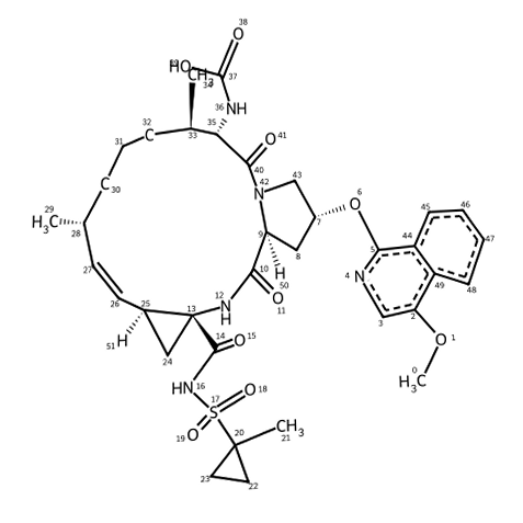 COc1cnc(O[C@@H]2C[C@H]3C(=O)N[C@]4(C(=O)NS(=O)(=O)C5(C)CC5)C[C@H]4/C=C\[C@H](C)CCC[C@@H](C)[C@H](NC(=O)O)C(=O)N3C2)c2ccccc12